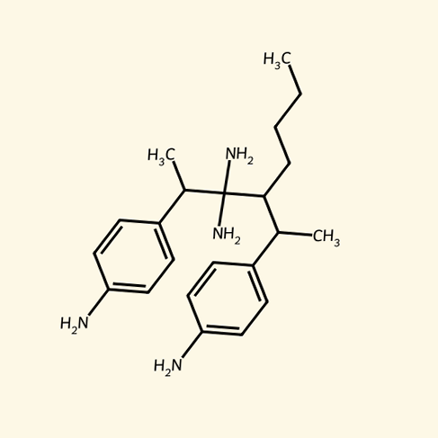 CCCCC(C(C)c1ccc(N)cc1)C(N)(N)C(C)c1ccc(N)cc1